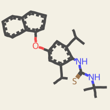 CC(C)c1cc(Oc2cccc3ccccc23)cc(C(C)C)c1NC(=S)NC(C)(C)C